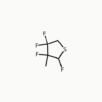 CC1(F)C(F)SCC1(F)F